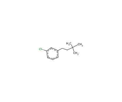 [CH2]C(C)(C)CCc1cccc(Cl)c1